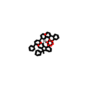 CC1(c2ccccc2)c2ccccc2-c2c(N(c3ccccc3-c3ccc(-c4ccccc4)cc3)c3ccccc3-c3ccccc3-c3ccccc3-c3ccccc3)cccc21